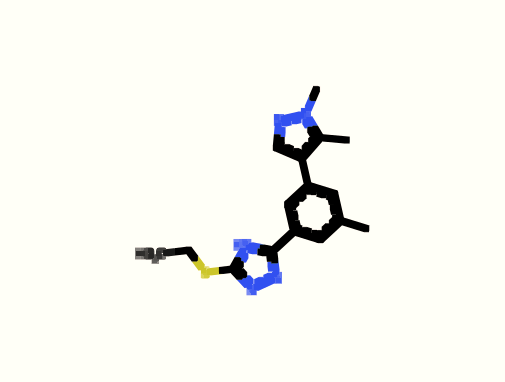 Cc1cc(-c2nnc(SCC(=O)O)[nH]2)cc(-c2cnn(C)c2C)c1